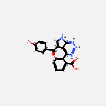 O=C(O)c1ccccc1-c1nnnc2[nH]cc(C(=O)c3ccc(O)cc3)c12